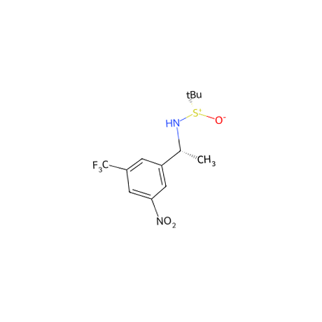 C[C@@H](N[S@@+]([O-])C(C)(C)C)c1cc([N+](=O)[O-])cc(C(F)(F)F)c1